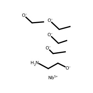 CC[O-].CC[O-].CC[O-].CC[O-].NCC[O-].[Nb+5]